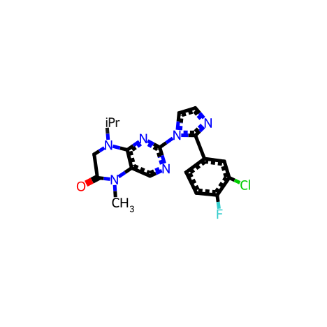 CC(C)N1CC(=O)N(C)c2cnc(-n3ccnc3-c3ccc(F)c(Cl)c3)nc21